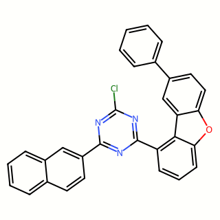 Clc1nc(-c2ccc3ccccc3c2)nc(-c2cccc3oc4ccc(-c5ccccc5)cc4c23)n1